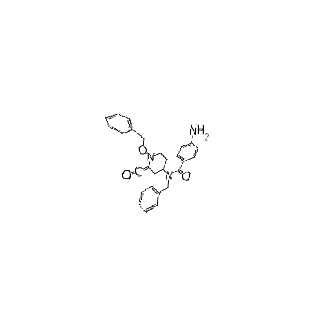 Nc1ccc(C(=O)N(Cc2ccccc2)C2CCN(OCc3ccccc3)C(=C=O)C2)cc1